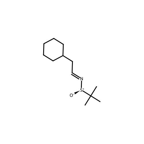 CC(C)(C)[S@@+]([O-])/N=C/CC1CCCCC1